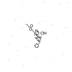 CCCC(=O)OCCc1nccc(N2[C@H](C)CN(Cc3ccccc3)C[C@@H]2C)n1.Cl